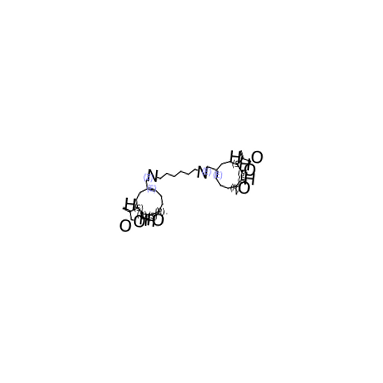 C=C1C(=O)O[C@H]2[C@H]1CCC(/C=N\CCCCCC/N=C/C1=C/CC[C@@]3(C)O[C@H]3[C@H]3OC(=O)C(=C)[C@@H]3CC1)=C\CC[C@@]1(C)O[C@@H]21